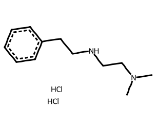 CN(C)CCNCCc1ccccc1.Cl.Cl